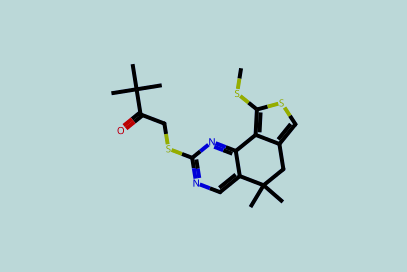 CSc1scc2c1-c1nc(SCC(=O)C(C)(C)C)ncc1C(C)(C)C2